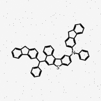 c1ccc(C(c2ccc3c(c2)-c2ccccc2C3)c2cc3sc4ccc(N(c5ccccc5)c5ccc6c(c5)-c5ccccc5C6)cc4c3c3ccccc23)cc1